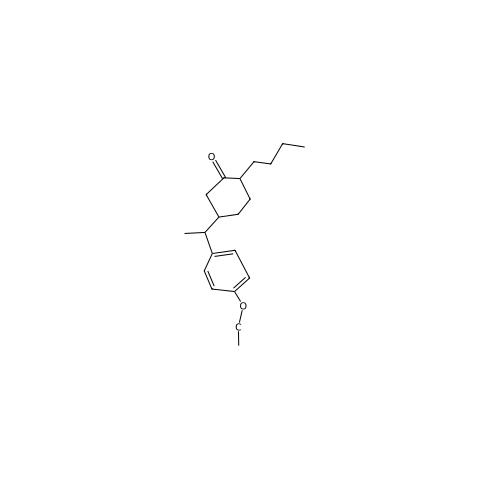 CCCCC1CCC(C(C)c2ccc(OCC)cc2)CC1=O